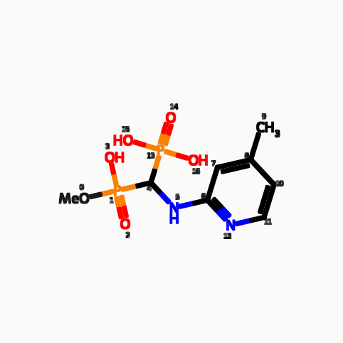 COP(=O)(O)C(Nc1cc(C)ccn1)P(=O)(O)O